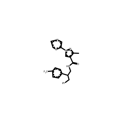 Cc1nn(-c2cnccn2)cc1C(=O)NCC(CC(C)C)c1ccc(C(F)(F)F)cc1